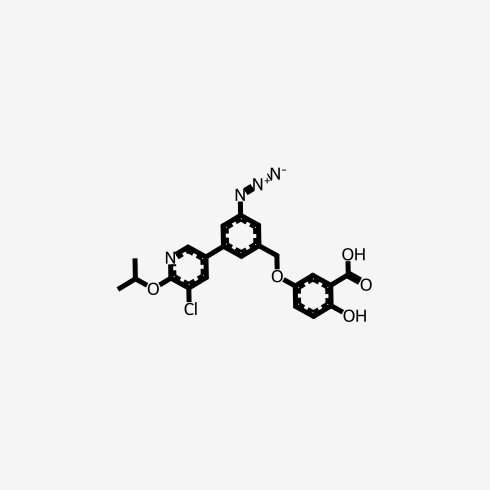 CC(C)Oc1ncc(-c2cc(COc3ccc(O)c(C(=O)O)c3)cc(N=[N+]=[N-])c2)cc1Cl